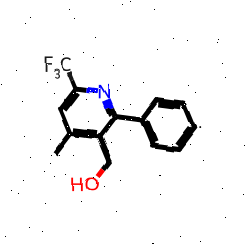 Cc1cc(C(F)(F)F)nc(-c2cc[c]cc2)c1CO